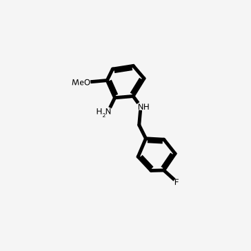 COc1cccc(NCc2ccc(F)cc2)c1N